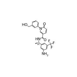 C[C@@H](NC(=O)c1ccc(=O)n(-c2cccc(CO)c2)c1)c1cc(N)cc(C(F)(F)F)c1